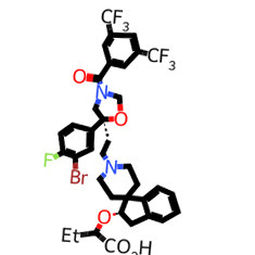 CCC(O[C@H]1Cc2ccccc2C12CCN(CC[C@]1(c3ccc(F)c(Br)c3)CN(C(=O)c3cc(C(F)(F)F)cc(C(F)(F)F)c3)CO1)CC2)C(=O)O